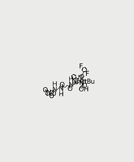 CC(C)(C)[C@H](c1cc(-c2cc(F)ccc2F)cn1Cc1ccccc1)N(CC[C@H](N)CNC(=O)CCC(=O)NCCNC(=O)CN1C(=O)C=CC1=O)C(=O)CO